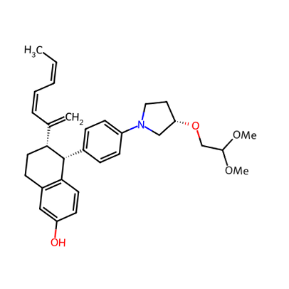 C=C(/C=C\C=C/C)[C@H]1CCc2cc(O)ccc2[C@H]1c1ccc(N2CC[C@H](OCC(OC)OC)C2)cc1